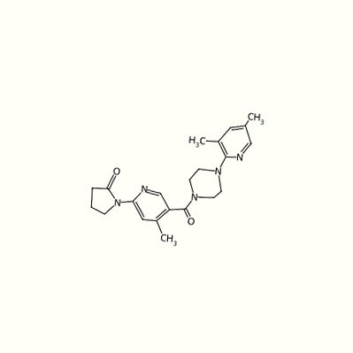 Cc1cnc(N2CCN(C(=O)c3cnc(N4CCCC4=O)cc3C)CC2)c(C)c1